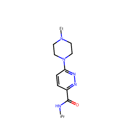 CCN1CCN(c2ccc(C(=O)NC(C)C)nn2)CC1